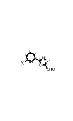 Cc1cccc(-c2nnc(C=O)o2)n1